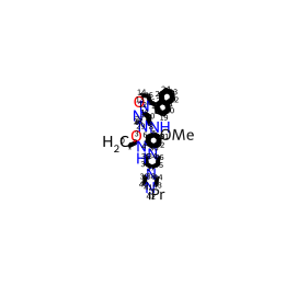 C=CC(=O)Nc1cc(Nc2cc(N3OCCC3c3cccc4ccccc34)ncn2)c(OC)cc1N1CCC(N2CCN(C(C)C)CC2)CC1